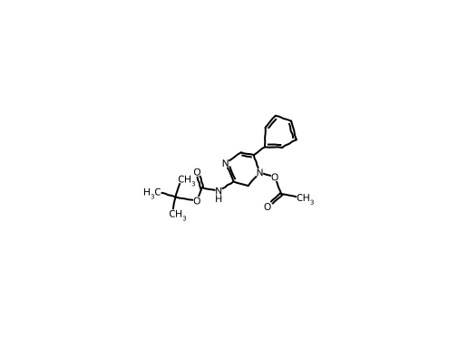 CC(=O)ON1CC(NC(=O)OC(C)(C)C)=NC=C1c1ccccc1